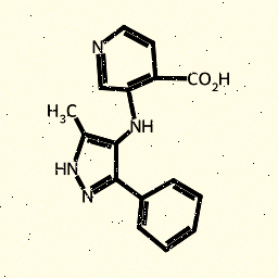 Cc1[nH]nc(-c2ccccc2)c1Nc1cnccc1C(=O)O